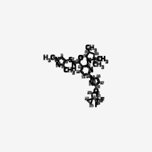 Cc1nn(C)cc1SNC(=O)c1ccc(-n2ccc(OCC3(C(F)(F)F)CC3)n2)nc1N1CC(C)CC1(C)C